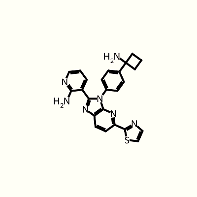 Nc1ncccc1-c1nc2ccc(-c3nccs3)nc2n1-c1ccc(C2(N)CCC2)cc1